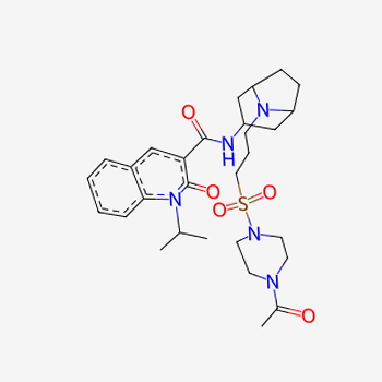 CC(=O)N1CCN(S(=O)(=O)CCCN2C3CCC2CC(NC(=O)c2cc4ccccc4n(C(C)C)c2=O)C3)CC1